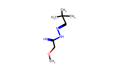 COCC(=N)N/N=C/C(C)(C)C